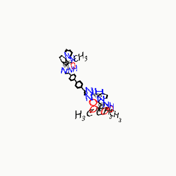 COC(=O)N[C@H](C(=O)N1CCC[C@H]1c1ncc(-c2ccc(-c3ccc(-c4cnc([C@@H]5C6CCC(C6)[C@H]5C(=O)N(C)c5ccccn5)[nH]4)cc3)cc2)[nH]1)[C@@H](C)OC